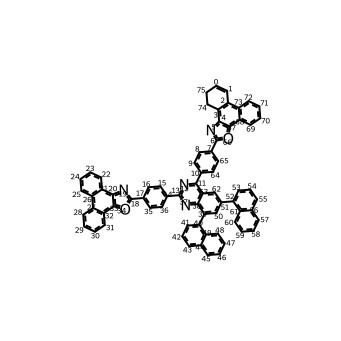 C1=Cc2c(c3nc(-c4ccc(-c5nc(-c6ccc(-c7nc8c9ccccc9c9ccccc9c8o7)cc6)nc6c(-c7cccc8ccccc78)cc(-c7cccc8ccccc78)cc56)cc4)oc3c3ccccc23)CC1